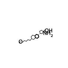 COCCCCC[C@H]1CCc2cc([C@@H]3CC[C@](N)(CO)C3)ccc2C1